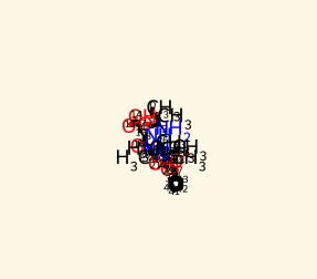 CC[C@H](C)[C@H](N)C(=O)N[C@@H](CCC(=O)O)C(=O)N[C@@H](C)C(=O)N(C(C)(C)C)[C@](C=O)(CC(C)C)C(=O)OCc1ccccc1